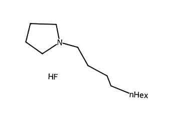 CCCCCCCCCCN1CCCC1.F